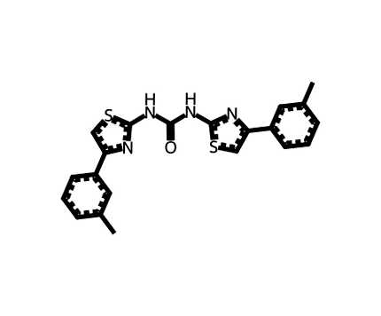 Cc1cccc(-c2csc(NC(=O)Nc3nc(-c4cccc(C)c4)cs3)n2)c1